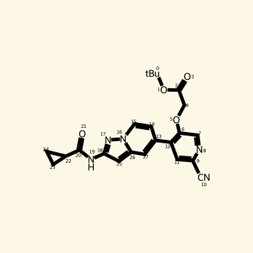 CC(C)(C)OC(=O)COc1cnc(C#N)cc1-c1ccn2nc(NC(=O)C3CC3)cc2c1